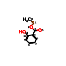 CSOC(=O)c1ccccc1O